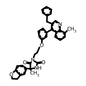 Cc1cccc2c(-c3cccc(OCCCN4C(=O)NC(C)(c5ccc6c(c5)CCO6)C4=O)c3)c(Cc3ccccc3)cnc12